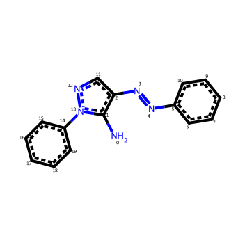 Nc1c(/N=N/c2ccccc2)cnn1-c1ccccc1